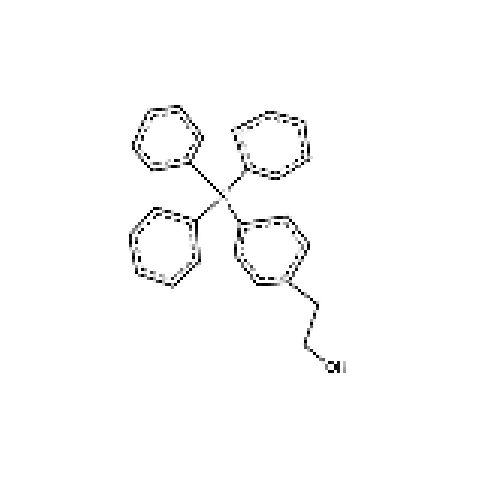 OCCc1ccc([Si](c2ccccc2)(c2ccccc2)c2ccccc2)cc1